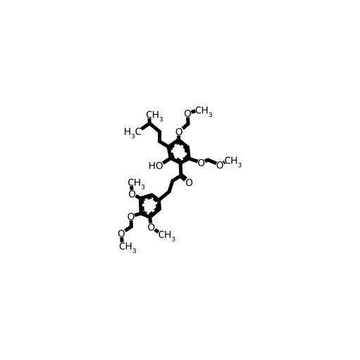 COCOc1cc(OCOC)c(C(=O)CCc2cc(OC)c(OCOC)c(OC)c2)c(O)c1CCC(C)C